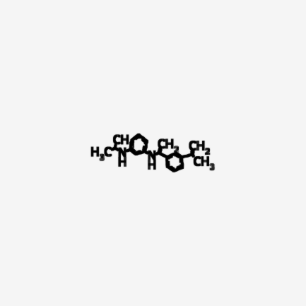 C=C(C)c1cccc(C(=C)Nc2cccc(NC(C)C)c2)c1